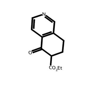 CCOC(=O)C1CCc2cnccc2C1=O